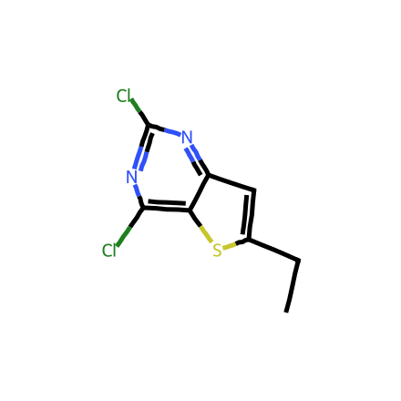 CCc1cc2nc(Cl)nc(Cl)c2s1